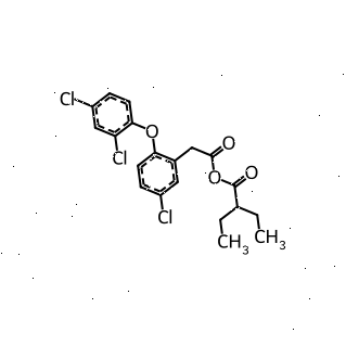 CCC(CC)C(=O)OC(=O)Cc1cc(Cl)ccc1Oc1ccc(Cl)cc1Cl